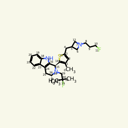 Cc1cc(CC2CN(CCCF)C2)sc1[C@@H]1c2[nH]c3ccccc3c2C[C@@H](C)N1CC(C)(C)F